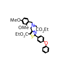 CCOC(=O)CN(Cc1ccc(OC)cc1OC)Cc1nc(-c2ccc(Oc3ccccc3)cc2)sc1C(=O)OCC